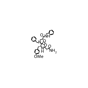 COc1ccc(C[C@H](NC(=O)[CH]C(N)=O)C(=O)N(CC(=O)C(=O)NCc2ccccc2)Cc2ccccc2)cc1